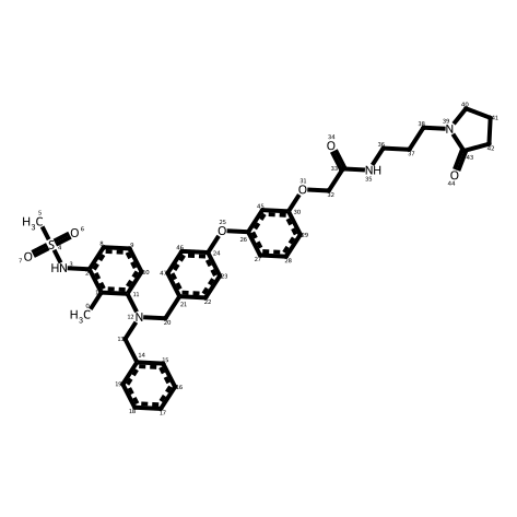 Cc1c(NS(C)(=O)=O)cccc1N(Cc1ccccc1)Cc1ccc(Oc2cccc(OCC(=O)NCCCN3CCCC3=O)c2)cc1